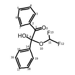 O=C(c1ccccc1)C(O)(OC(F)F)c1ccccc1